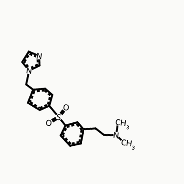 CN(C)CCc1cccc(S(=O)(=O)c2ccc(Cn3ccnc3)cc2)c1